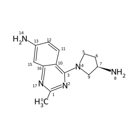 Cc1nc(N2CC[C@@H](N)C2)c2ccc(N)cc2n1